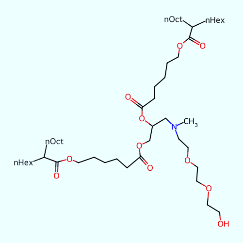 CCCCCCCCC(CCCCCC)C(=O)OCCCCCC(=O)OCC(CN(C)CCOCCOCCO)OC(=O)CCCCCOC(=O)C(CCCCCC)CCCCCCCC